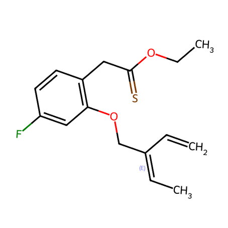 C=C/C(=C\C)COc1cc(F)ccc1CC(=S)OCC